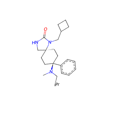 CC(C)CN(C)[C@]1(c2ccccc2)CC[C@]2(CC1)CNC(=O)N2CC1CCC1